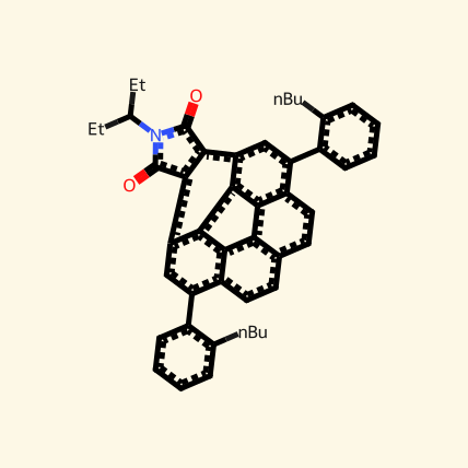 CCCCc1ccccc1-c1cc2c3c(=O)n(C(CC)CC)c(=O)c3c3cc(-c4ccccc4CCCC)c4ccc5ccc1c1c5c4c3c21